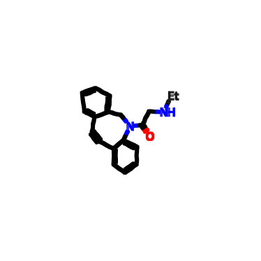 CCNCC(=O)N1Cc2ccccc2C#Cc2ccccc21